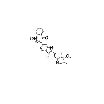 COc1c(C)cnc(CSc2nc3cc(OC(=O)c4ccccc4[N+](=O)[O-])ccc3[nH]2)c1C